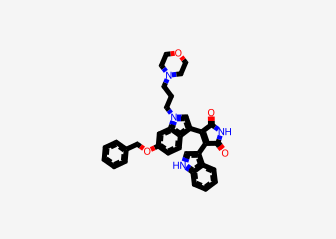 O=C1NC(=O)C(c2cn(CCCN3CCOCC3)c3cc(OCc4ccccc4)ccc23)=C1c1c[nH]c2ccccc12